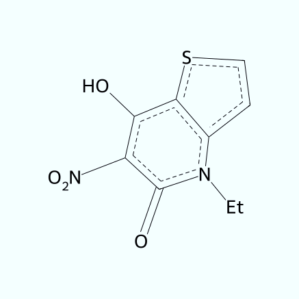 CCn1c(=O)c([N+](=O)[O-])c(O)c2sccc21